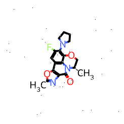 Cc1nc2c(=O)n3c4c(c(N5CCCC5)c(F)cc4c2o1)OC[C@@H]3C